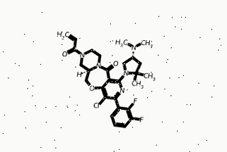 C=CC(=O)N1CCN2C(=O)c3c(N4C[C@H](N(C)C)CC4(C)C)nc(-c4cccc(F)c4F)c(Cl)c3OC[C@H]2C1